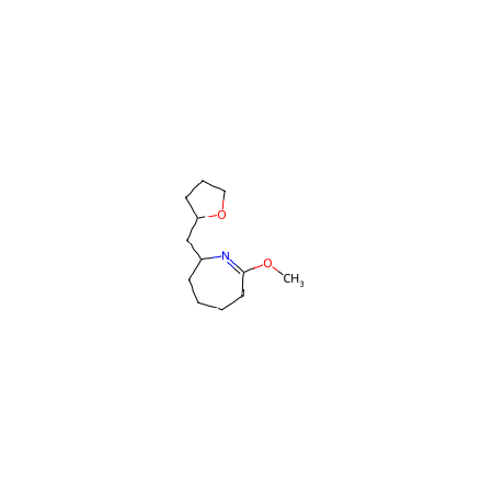 COC1=NC(CC2CCCO2)CCCC1